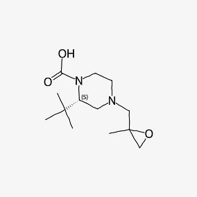 CC1(CN2CCN(C(=O)O)[C@@H](C(C)(C)C)C2)CO1